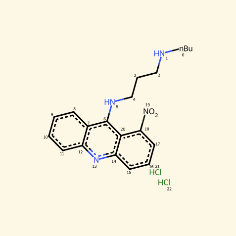 CCCCNCCCNc1c2ccccc2nc2cccc([N+](=O)[O-])c12.Cl.Cl